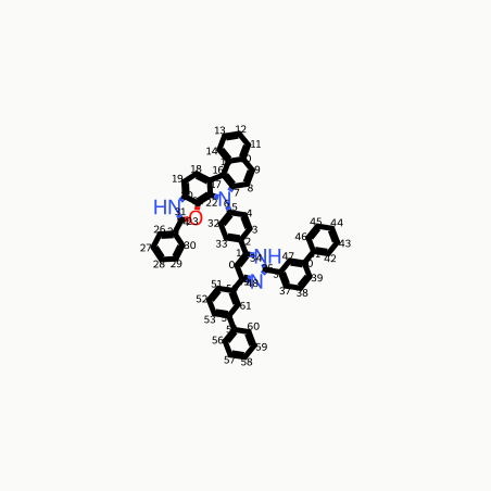 C1=C(c2ccc(-n3c4ccc5ccccc5c4c4ccc5c(c43)OC(c3ccccc3)N5)cc2)NC(c2cccc(-c3ccccc3)c2)N=C1c1cccc(-c2ccccc2)c1